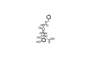 O=C(O)Cc1ccc(O)c(O)c1S(=O)(=O)NC(=O)N1C[C@H](NC(=O)OCc2ccccc2)C1=O